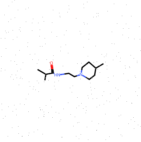 CC1CCN(CCNC(=O)C(C)C)CC1